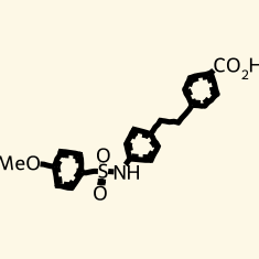 COc1ccc(S(=O)(=O)Nc2ccc(CCc3ccc(C(=O)O)cc3)cc2)cc1